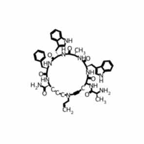 C=CCN1C#CCC(NC(=O)[C@H](C)N)C(=O)N[C@H](Cc2c[nH]c3ccccc23)C(=O)N[C@@H](C)C(=O)N[C@@H](Cc2c[nH]c3ccccc23)C(=O)N[C@H](Cc2ccccc2)C(=O)N[C@H](C(N)=O)CCC1